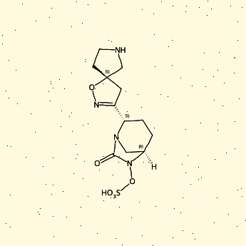 O=C1N2C[C@@H](CC[C@H]2C2=NO[C@@]3(CCNC3)C2)N1OS(=O)(=O)O